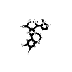 Cn1nccc1C(O)c1c(C(=O)O)nc2n1CCOc1cc(F)c(Br)cc1-2